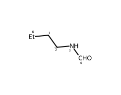 CCC[CH]NC=O